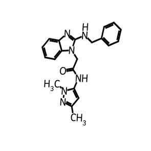 Cc1cc(NC(=O)Cn2c(NCc3ccccc3)nc3ccccc32)n(C)n1